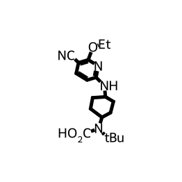 CCOc1nc(NC2CCC(N(C(=O)O)C(C)(C)C)CC2)ccc1C#N